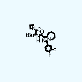 CC(C)(C)[C@H](NC(=O)c1nc(-c2ccc(F)c(F)c2)n2c1CCCCC2)C(=O)N1CCC1